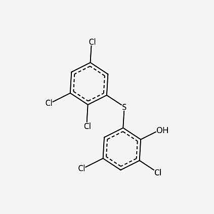 Oc1c(Cl)cc(Cl)cc1Sc1cc(Cl)cc(Cl)c1Cl